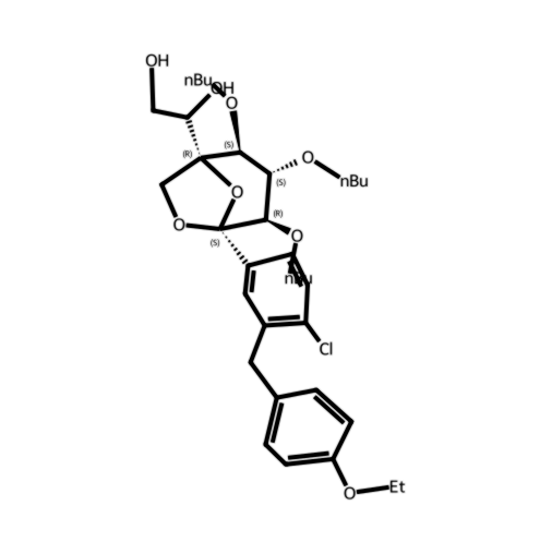 CCCCO[C@@H]1[C@@H](OCCCC)[C@@]2(c3ccc(Cl)c(Cc4ccc(OCC)cc4)c3)OC[C@](C(O)CO)(O2)[C@H]1OCCCC